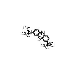 [13CH3]N([13CH3])c1ccc2nc3ccc(N([13CH3])[13CH3])cc3[s+]c2c1